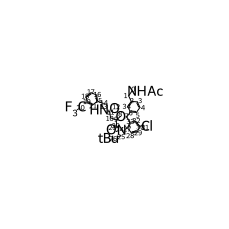 CC(=O)NCc1cccc(C2OC(CC(=O)NCc3cccc(C(F)(F)F)c3)C(=O)N(CC(C)(C)C)c3ccc(Cl)cc32)c1